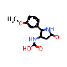 COc1cccc(C2NC(=O)CC2NC(=O)O)c1